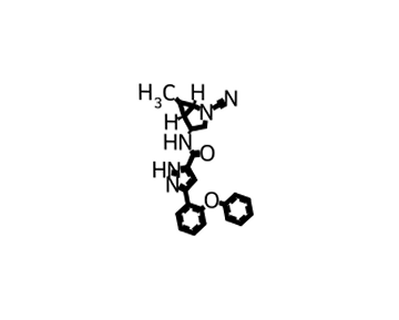 CC1[C@H]2[C@H](NC(=O)c3cc(-c4ccccc4Oc4ccccc4)n[nH]3)CN(C#N)[C@@H]12